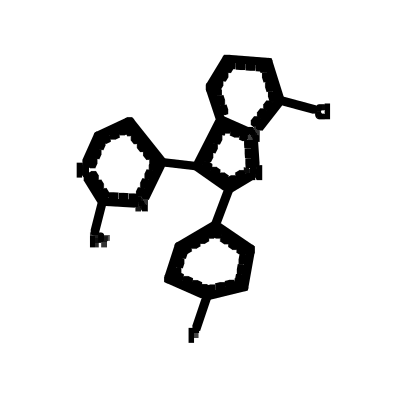 CC(C)c1nccc(-c2c(-c3ccc(F)cc3)nn3c(Cl)cccc23)n1